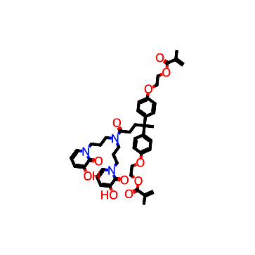 C=C(C)C(=O)OCCOc1ccc(C(C)(CCC(=O)N(CCCn2cccc(O)c2=O)CCCn2cccc(O)c2=O)c2ccc(OCCOC(=O)C(=C)C)cc2)cc1